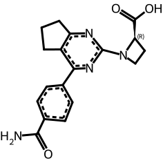 NC(=O)c1ccc(-c2nc(N3CC[C@@H]3C(=O)O)nc3c2CCC3)cc1